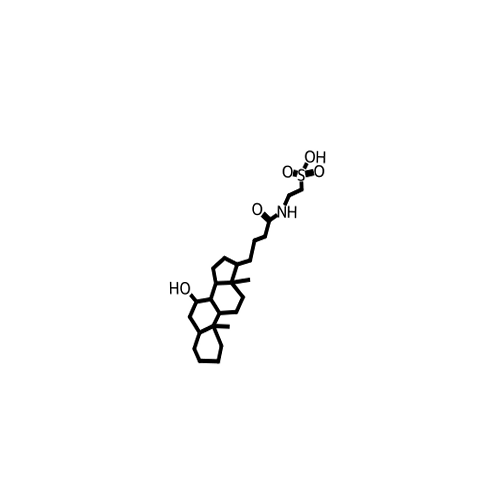 CC12CCC3C(C(O)CC4CCCCC43C)C1CCC2CCCC(=O)NCCS(=O)(=O)O